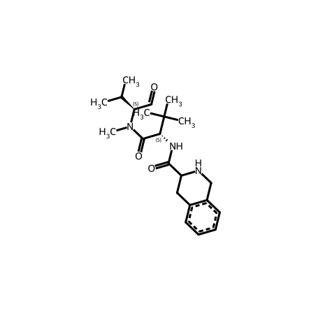 CC(C)[C@@H](C=O)N(C)C(=O)[C@@H](NC(=O)C1Cc2ccccc2CN1)C(C)(C)C